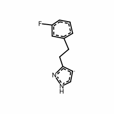 Fc1cccc(CCc2[c]c[nH]n2)c1